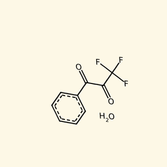 O.O=C(C(=O)C(F)(F)F)c1ccccc1